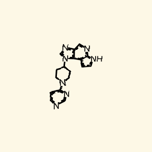 c1cc(N2CCC(n3cnc4cnc5[nH]ccc5c43)CC2)ncn1